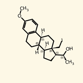 COc1ccc2c(c1)CC[C@@H]1[C@@H]2CC[C@]2(CI)[C@@H]([C@H](C)O)CC[C@@H]12